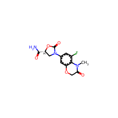 CN1C(=O)COc2cc(N3C[C@H](C(N)=O)OC3=O)cc(F)c21